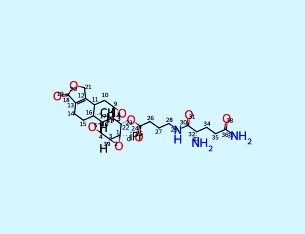 CC(C)[C@]12O[C@H]1[C@@H]1O[C@]13[C@]1(O[C@H]1CC1C4=C(CC[C@@]13C)C(=O)OC4)[C@@H]2OC(=O)CCCNC(=O)[C@@H](N)CCC(N)=O